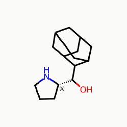 OC(C1C2CC3CC(C2)CC1C3)[C@@H]1CCCN1